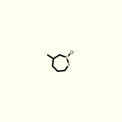 CC1CCCS[S+]([O-])C1